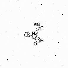 CNC(=O)OCc1nc(N2C3CCC2CC3)cc2c1CNC2=O